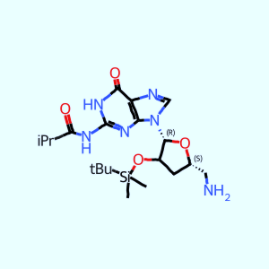 CC(C)C(=O)Nc1nc2c(ncn2[C@@H]2O[C@H](CN)CC2O[Si](C)(C)C(C)(C)C)c(=O)[nH]1